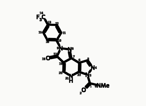 CNC(=O)n1ncc2c3nn(-c4ccc(C(F)(F)F)cc4)c(=O)c-3c[nH]c21